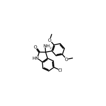 COc1ccc(OC)c(C2(N)C(=O)Nc3ccc(Cl)cc32)c1